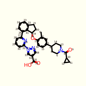 Cc1cc(C2CCN(C(=O)C3CC3)CC2)ccc1OC1CCc2cccc(-c3cccc(-n4cc(C(=O)O)cn4)n3)c21